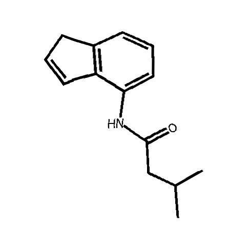 CC(C)CC(=O)Nc1cccc2c1C=CC2